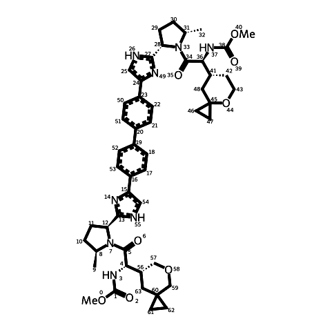 COC(=O)N[C@H](C(=O)N1[C@@H](C)CC[C@H]1c1nc(-c2ccc(-c3ccc(-c4c[nH]c([C@@H]5CC[C@H](C)N5C(=O)[C@@H](NC(=O)OC)[C@@H]5CCOC6(CC6)C5)n4)cc3)cc2)c[nH]1)[C@@H]1COCC2(CC2)C1